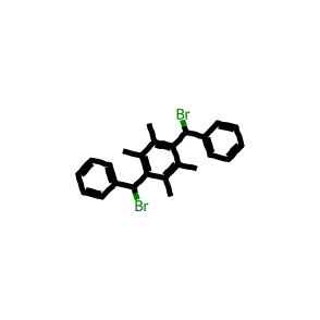 Cc1c(C)c(C(Br)c2ccccc2)c(C)c(C)c1C(Br)c1ccccc1